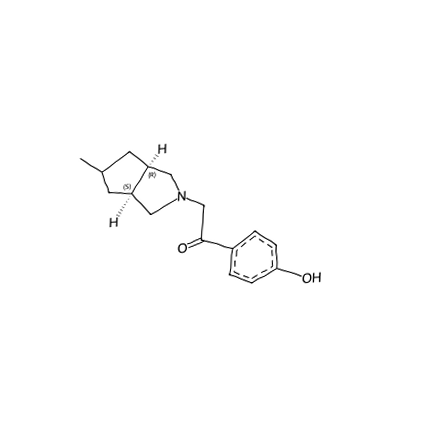 CC1C[C@@H]2CN(CC(=O)c3ccc(O)cc3)C[C@@H]2C1